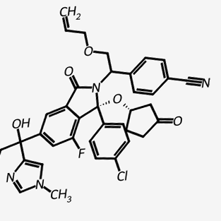 C=CCOCC(c1ccc(C#N)cc1)N1C(=O)c2cc(C(O)(CC)c3cn(C)cn3)cc(F)c2[C@]1(O[C@H]1CCC(=O)C1)c1ccc(Cl)cc1